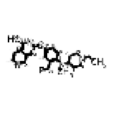 CCN1CCC(N(C)c2ccc(Oc3nc(O)c4ccncc4n3)cc2CF)CC1